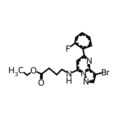 CCOC(=O)CCCNc1cc(-c2ccccc2F)nc2c(Br)cnn12